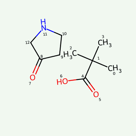 CC(C)(C)C(=O)O.O=C1CCNC1